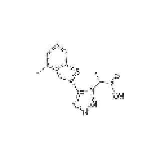 Cc1cccc2sc(-c3nnnn3C(C)C(=O)O)cc12